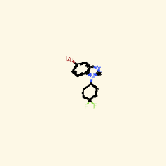 FC1(F)CCC(n2cnc3cc(Br)ccc32)CC1